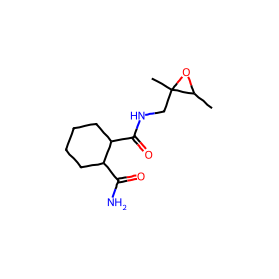 CC1OC1(C)CNC(=O)C1CCCCC1C(N)=O